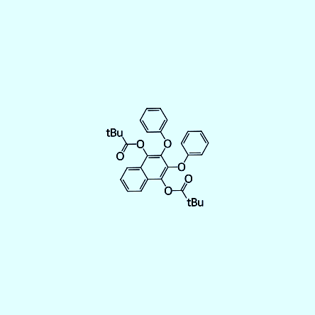 CC(C)(C)C(=O)Oc1c(Oc2ccccc2)c(Oc2ccccc2)c(OC(=O)C(C)(C)C)c2ccccc12